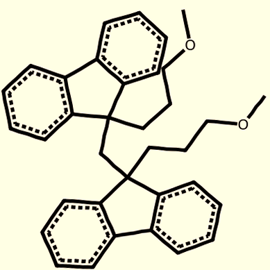 COCCCC1(CC2(CCCOC)c3ccccc3-c3ccccc32)c2ccccc2-c2ccccc21